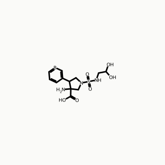 NC1(C(=O)O)CN(S(=O)(=O)NCC(O)O)CC1c1cbccc1